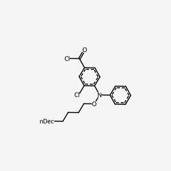 CCCCCCCCCCCCCCON(c1ccccc1)c1ccc(C(=O)Cl)cc1Cl